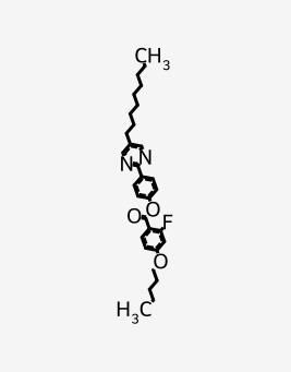 CCCCCCCCCc1cnc(-c2ccc(OC(=O)c3ccc(OCCCCC)cc3F)cc2)nc1